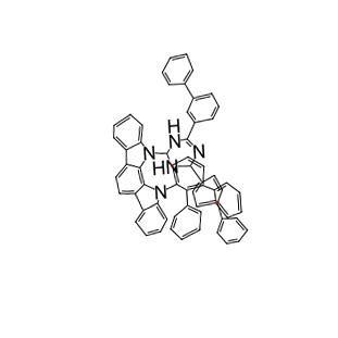 c1ccc(-c2ccc(C3N=C(c4cccc(-c5ccccc5)c4)NC(n4c5ccccc5c5ccc6c7ccccc7n(-c7cccc(-c8ccccc8)c7-c7ccccc7)c6c54)N3)cc2)cc1